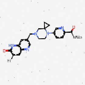 CCc1cc2ncc(CN3CCN(c4ccc(C(=O)NC)nc4)C4(CC4)C3)cc2[nH]c1=O